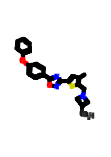 Cc1cc(-c2noc(-c3ccc(Oc4ccccc4)cc3)n2)sc1CN1CC(C(=O)O)C1